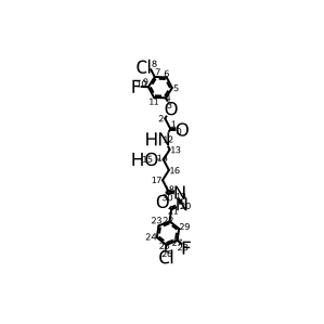 O=C(COc1ccc(Cl)c(F)c1)NC[C@@H](O)CCc1nnc(-c2ccc(Cl)c(F)c2)o1